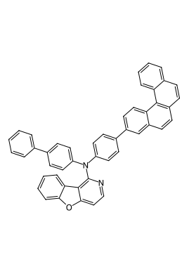 c1ccc(-c2ccc(N(c3ccc(-c4ccc5c(ccc6ccc7ccccc7c65)c4)cc3)c3nccc4oc5ccccc5c34)cc2)cc1